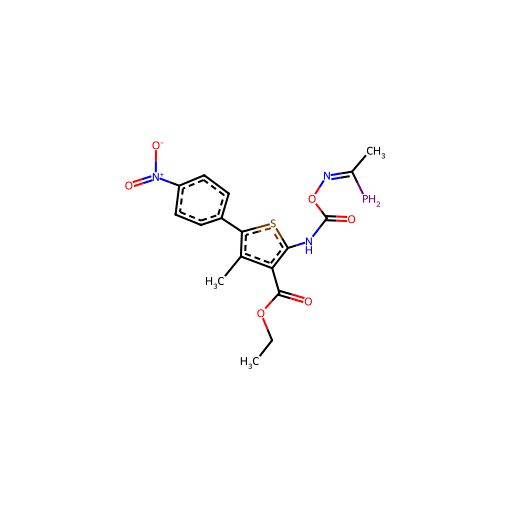 CCOC(=O)c1c(NC(=O)O/N=C(/C)P)sc(-c2ccc([N+](=O)[O-])cc2)c1C